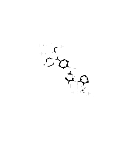 CN1CCN(C(O[C@@H](C(=O)O)[C@@H](O)C(=O)O)c2ccc(Nc3ncc(Cl)c(Nc4ccccc4S(=O)(=O)N(C)C)n3)cc2)CC1